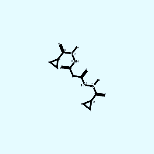 C=C(CC(=C)NN(C)C(=C)C1CC1)NN(C)C(=C)C1CC1